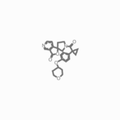 O=C1OC2(CCN(C(=O)C3(c4ccc(OC5CCOCC5)cc4)CC3)C2)c2ccncc21